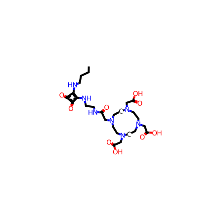 CCCCNc1c(NCCNC(=O)CN2CCN(CC(=O)O)CCN(CC(=O)O)CCN(CC(=O)O)CC2)c(=O)c1=O